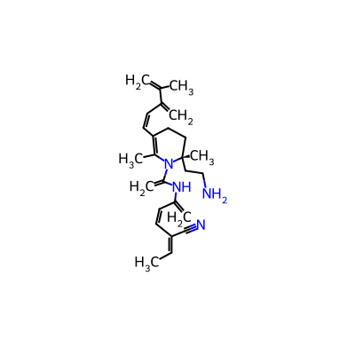 C=C(/C=C\C(C#N)=C/C)NC(=C)N1C(C)=C(/C=C\C(=C)C(=C)C)CC[C@]1(C)CCN